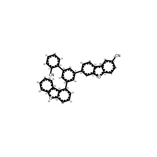 N#Cc1ccc2oc3cc(-c4cc(-c5ccccc5C#N)cc(-c5cccc6oc7ccccc7c56)c4)ccc3c2c1